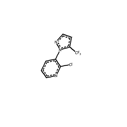 FC(F)(F)c1[c]cnn1-c1cccnc1Cl